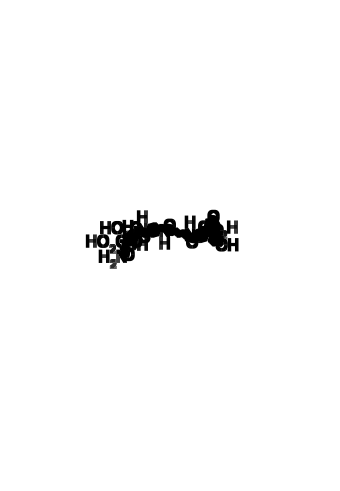 NC(=O)CC[C@H](NP(=O)(O)OC[C@H](NC(=O)c1ccc(CNC(=O)CCCCCNC(=O)c2ccc(C3c4ccc(O)cc4OC4=CC(=O)C=CC43)c(C(=O)O)c2)cc1)C(=O)O)C(=O)O